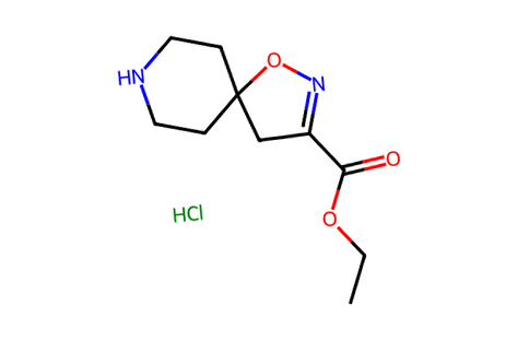 CCOC(=O)C1=NOC2(CCNCC2)C1.Cl